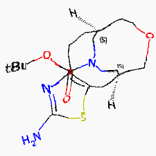 CC(C)(C)OC(=O)N1[C@@H]2COC[C@H]1c1sc(N)nc1C2